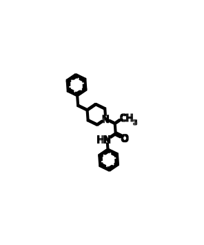 CC(C(=O)Nc1ccccc1)N1CCC(Cc2ccccc2)CC1